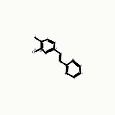 Cc1ccc(C=Cc2ccccc2)cc1Cl